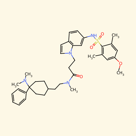 COc1cc(C)c(S(=O)(=O)Nc2ccc3ccn(CCC(=O)N(C)CCC4CCC(c5ccccc5)(N(C)C)CC4)c3c2)c(C)c1